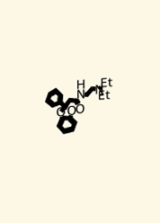 CCN(CC)CCNC(=O)CC1(c2ccccc2)Oc2ccccc2O1